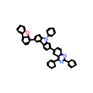 c1cc2c(oc3ccccc32)c(-c2ccc3c(c2)c2ccc(-c4ccc5nc(C6C=CC=CC6)nc(C6=CC=CCC6)c5c4)cc2n3-c2ccccc2)c#1